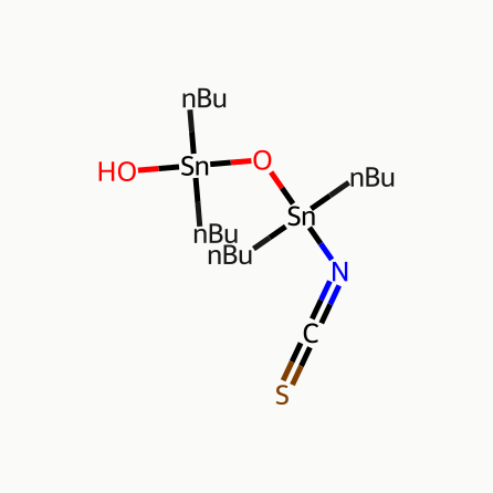 CCC[CH2][Sn]([OH])([CH2]CCC)[O][Sn]([CH2]CCC)([CH2]CCC)[N]=C=S